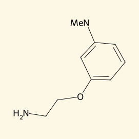 CNc1cccc(OCCN)c1